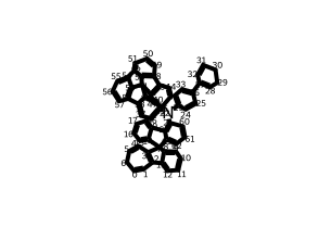 C1=CC2=C(C=CC1)C1(c3ccccc32)c2ccccc2-c2c(N(c3ccc(C4=CCCC=C4)cc3)c3ccc4c(c3)C35C6=C(C=CCC6)c6cccc(c63)-c3cccc-4c35)cccc21